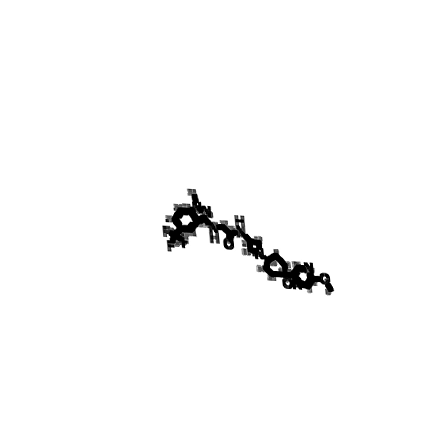 COc1ccc([C@]2(O)CC[C@H](N3CC(NC(=O)CNc4nn(C)c5ccc(C(F)(F)F)cc45)C3)CC2)cn1